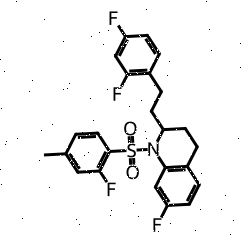 Cc1ccc(S(=O)(=O)N2c3cc(F)ccc3CCC2CCc2ccc(F)cc2F)c(F)c1